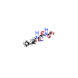 O=C(CBr)NCC(=O)NCC(=O)NC1CC2(CC(Cc3ccccc3)C2)C1